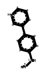 CCCNc1ccc(-c2cccnc2)cc1